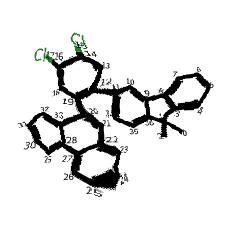 CC1(C)c2ccccc2-c2cc(-c3cc(Cl)c(Cl)cc3-c3cc4ccccc4c4ccccc34)ccc21